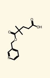 CC(C)(CCC(=O)O)C(=O)OCc1cccnc1